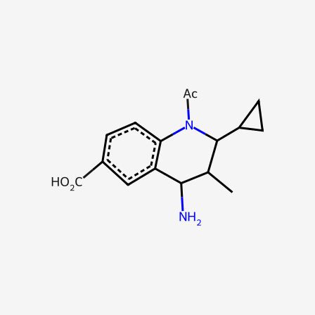 CC(=O)N1c2ccc(C(=O)O)cc2C(N)C(C)C1C1CC1